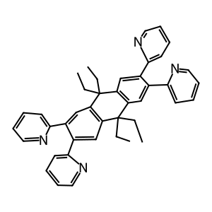 CCC1(CC)c2cc(-c3ccccn3)c(-c3ccccn3)cc2C(CC)(CC)c2cc(-c3ccccn3)c(-c3ccccn3)cc21